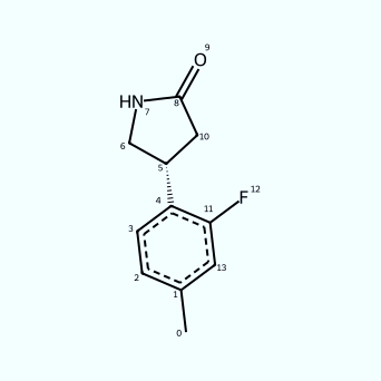 Cc1ccc([C@@H]2CNC(=O)C2)c(F)c1